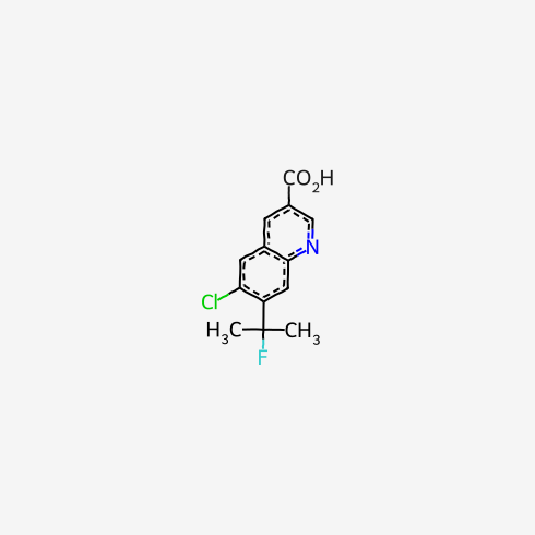 CC(C)(F)c1cc2ncc(C(=O)O)cc2cc1Cl